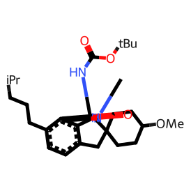 COC1CCC2(CC1)Cc1ccc(CCCC(C)C)cc1C21N=C(NC(=O)OC(C)(C)C)N(C)C1=O